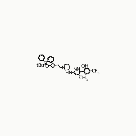 Cc1cc(N[C@@H]2CCCN(CCC3CC(O[Si](c4ccccc4)(c4ccccc4)C(C)(C)C)C3)C2)nnc1-c1ccc(C(F)(F)F)cc1O